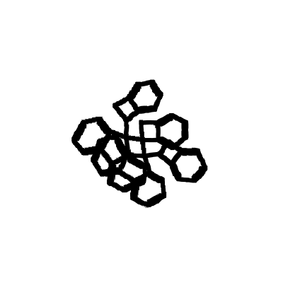 c1ccc2c(c1)CC2C1(C2(C3(C4Cc5ccccc54)c4ccccc4-c4ccccc43)Cc3ccccc32)c2ccccc2-c2ccccc21